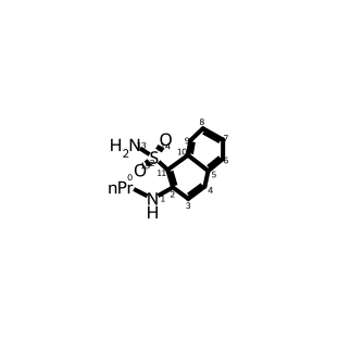 CCCNc1ccc2ccccc2c1S(N)(=O)=O